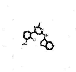 COc1cccc(-c2cc(NC3CCc4ccccc43)nc(C)n2)c1Cl